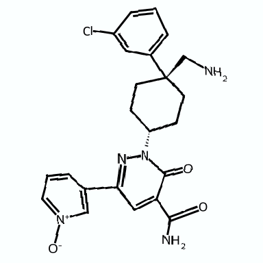 NC[C@]1(c2cccc(Cl)c2)CC[C@@H](n2nc(-c3ccc[n+]([O-])c3)cc(C(N)=O)c2=O)CC1